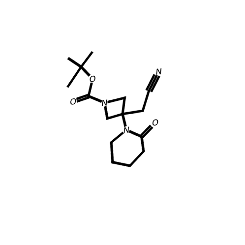 CC(C)(C)OC(=O)N1CC(CC#N)(N2CCCCC2=O)C1